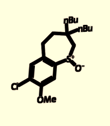 CCCCC1(CCCC)CCc2cc(Cl)c(OC)cc2[S+]([O-])C1